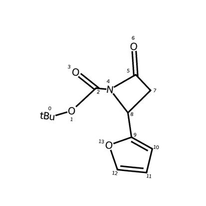 CC(C)(C)OC(=O)N1C(=O)CC1c1ccco1